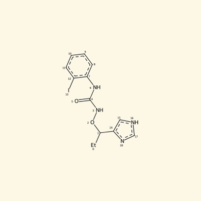 CCC(ONC(=O)Nc1ccccc1I)c1c[nH]cn1